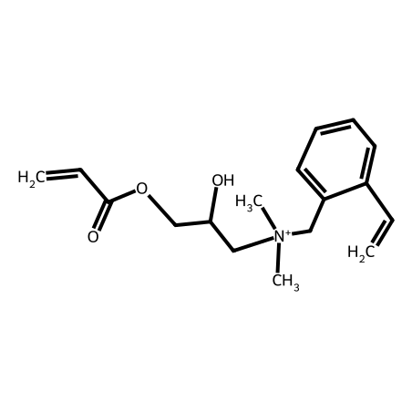 C=CC(=O)OCC(O)C[N+](C)(C)Cc1ccccc1C=C